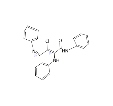 O=C(Nc1ccccc1)/C(Nc1ccccc1)=C(Cl)/C=N\c1ccccc1